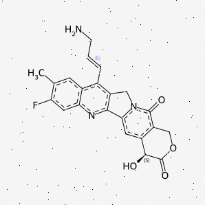 Cc1cc2c(/C=C/CN)c3c(nc2cc1F)-c1cc2c(c(=O)n1C3)COC(=O)[C@H]2O